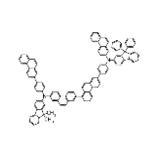 CC1(C)c2ccccc2-c2ccc(N(c3ccc(-c4ccc5c(ccc6ccccc65)c4)cc3)c3ccc4c(ccc5cc(-c6cccc7c6ccc6cc(-c8ccc(N(c9ccc%10c(c9)C(c9ccccc9)(c9ccccc9)c9ccccc9-%10)c9ccc%10c(ccc%11ccccc%11%10)c9)cc8)ccc67)ccc54)c3)cc21